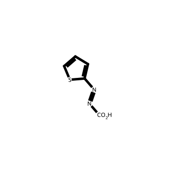 O=C(O)N=Nc1cccs1